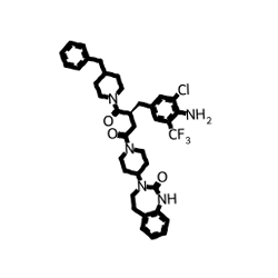 Nc1c(Cl)cc(C[C@@H](CC(=O)N2CCC(N3CCc4ccccc4NC3=O)CC2)C(=O)N2CCC(Cc3ccccc3)CC2)cc1C(F)(F)F